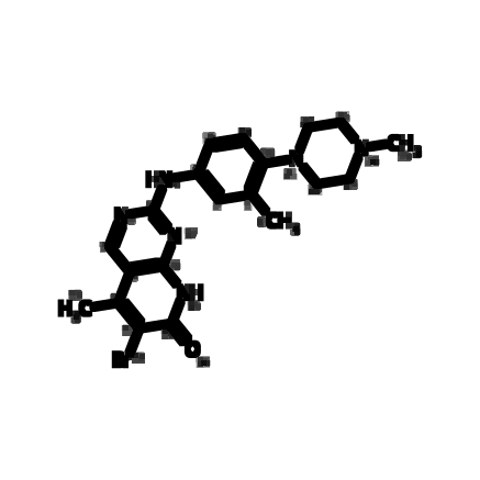 Cc1cc(Nc2ncc3c(C)c(Br)c(=O)[nH]c3n2)ccc1N1CCN(C)CC1